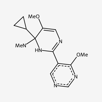 CNC1(C2CC2)NC(c2cncnc2OC)=NC=C1OC